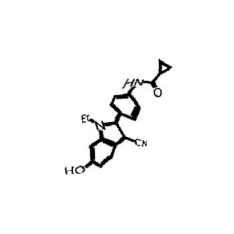 CCN1c2cc(O)ccc2C(C#N)C1c1ccc(NC(=O)C2CC2)cc1